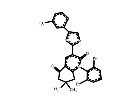 CCc1cccc(CC)c1-n1c2c(cc(-c3nc(-c4cccc(C)c4)cs3)c1=O)C(=O)CC(C)(C)C2